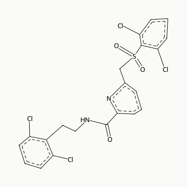 O=C(NCCc1c(Cl)cccc1Cl)c1cccc(CS(=O)(=O)c2c(Cl)cccc2Cl)n1